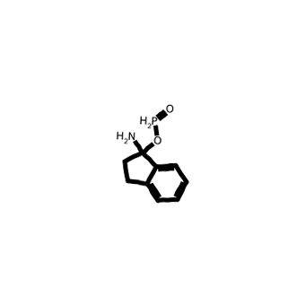 NC1(O[PH2]=O)CCc2ccccc21